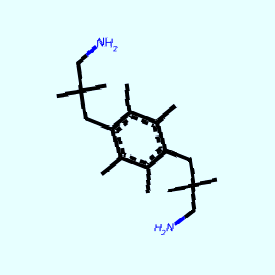 Cc1c(C)c(CC(C)(C)CN)c(C)c(C)c1CC(C)(C)CN